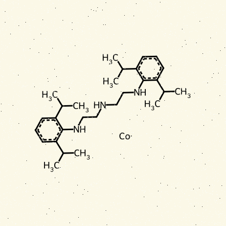 CC(C)c1cccc(C(C)C)c1NCCNCCNc1c(C(C)C)cccc1C(C)C.[Co]